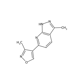 Cc1nocc1-c1ccc2c(C)n[nH]c2n1